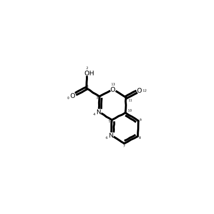 O=C(O)c1nc2ncccc2c(=O)o1